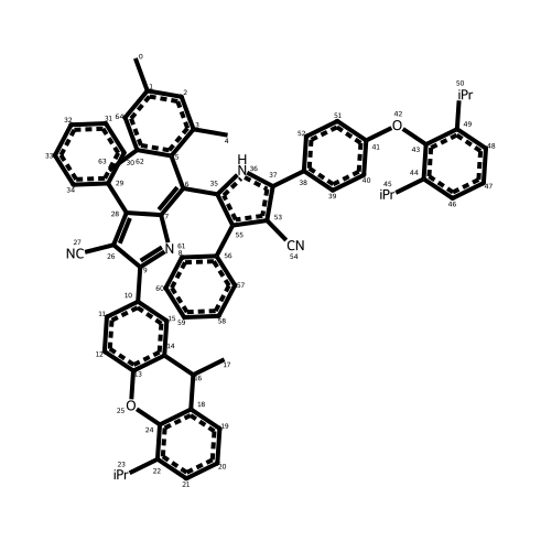 Cc1cc(C)c(/C(=C2/N=C(c3ccc4c(c3)C(C)c3cccc(C(C)C)c3O4)C(C#N)=C2c2ccccc2)c2[nH]c(-c3ccc(Oc4c(C(C)C)cccc4C(C)C)cc3)c(C#N)c2-c2ccccc2)c(C)c1